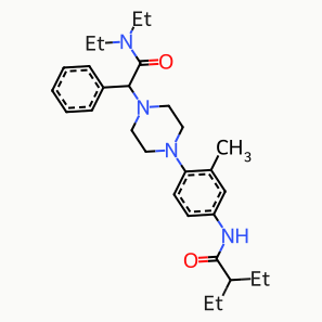 CCC(CC)C(=O)Nc1ccc(N2CCN(C(C(=O)N(CC)CC)c3ccccc3)CC2)c(C)c1